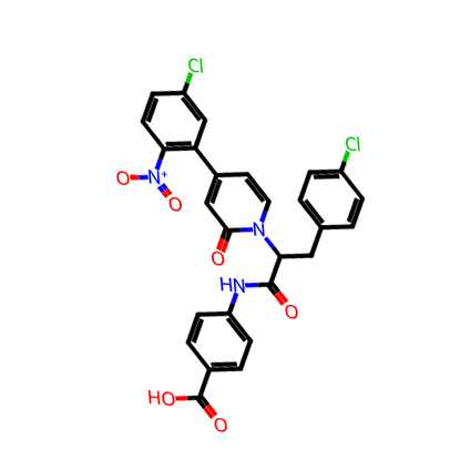 O=C(O)c1ccc(NC(=O)C(Cc2ccc(Cl)cc2)n2ccc(-c3cc(Cl)ccc3[N+](=O)[O-])cc2=O)cc1